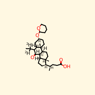 [2H]C([2H])(C)C1C(=O)[C@@H]2[C@H](CC[C@]3(C)[C@@H]([C@H](C)CCC(=O)O)CC[C@@H]23)[C@@]2(C)CC[C@@H](OC3CCCCO3)C[C@@H]12